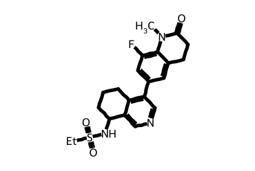 CCS(=O)(=O)NC1CCCc2c(-c3cc(F)c4c(c3)CCC(=O)N4C)cncc21